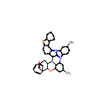 Cc1cc2c3c(c1)-n1c4ccc(C(C)(C)C)cc4n4c5c(ccc6sc7ccccc7c65)c(c14)B3C1C3C4=CC(C=CC=C4)(c4ccccc43)C1O2